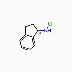 ClN[C@@H]1CCc2ccccc21